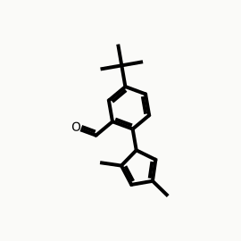 CC1=CC(c2ccc(C(C)(C)C)cc2C=O)C(C)=C1